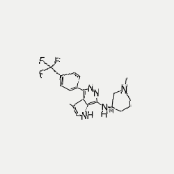 Cc1c[nH]c2c(N[C@@H]3CCCN(C)C3)nnc(-c3ccc(C(F)(F)F)cc3)c12